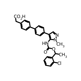 CC(OC(=O)Nc1c(-c2ccc(-c3ccc(CC(=O)O)cc3)cc2)cnn1C)c1ccccc1Cl